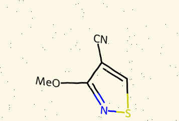 COc1nscc1C#N